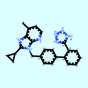 Cc1ccnc2c1nc(C1CC1)n2Cc1ccc(-c2ccccc2-c2nnn[nH]2)cc1